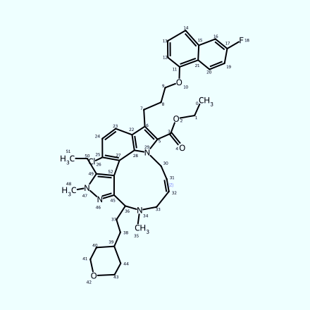 CCOC(=O)c1c(CCCOc2cccc3cc(F)ccc23)c2ccc(Cl)c3c2n1C/C=C\CN(C)C(CCC1CCOCC1)c1nn(C)c(CC)c1-3